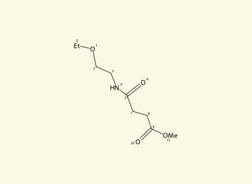 CCOCCNC(=O)CCC(=O)OC